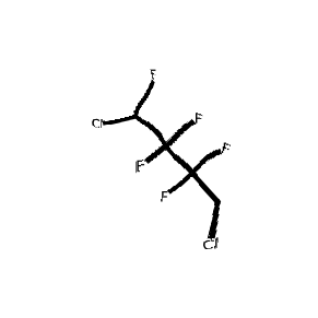 FC(Cl)C(F)(F)C(F)(F)CCl